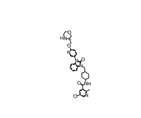 Cc1ncc(Cl)cc1C(=O)NC1CCC(Cn2c(=O)n(-c3ccc(OC[C@@H]4COCCN4)nc3)c3ccccc32)CC1